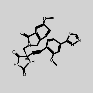 COc1ccc2c(c1)C(=O)N(C[C@@]1(C#Cc3ccc(-c4nnc[nH]4)cc3OC)NC(=O)NC1=O)C2